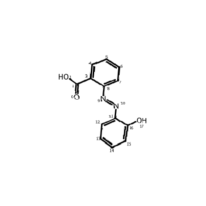 O=C(O)c1ccccc1/N=N/c1ccccc1O